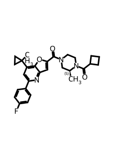 C[C@H]1CN(C(=O)c2cc3nc(-c4ccc(F)cc4)cc(C4(C)CC4)c3o2)CCN1C(=O)C1CCC1